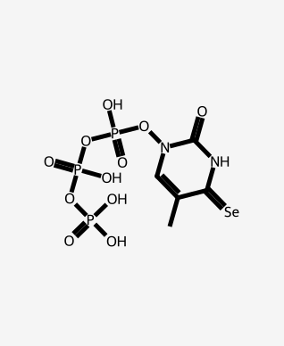 Cc1cn(OP(=O)(O)OP(=O)(O)OP(=O)(O)O)c(=O)[nH]c1=[Se]